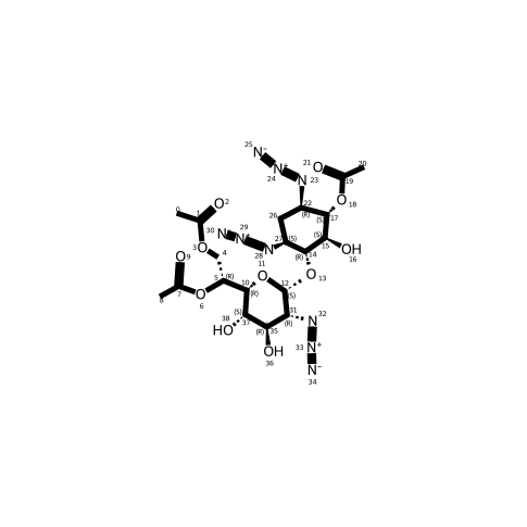 CC(=O)OC[C@@H](OC(C)=O)[C@@H]1O[C@H](O[C@H]2[C@H](O)[C@@H](OC(C)=O)[C@H](N=[N+]=[N-])C[C@@H]2N=[N+]=[N-])[C@H](N=[N+]=[N-])[C@@H](O)[C@@H]1O